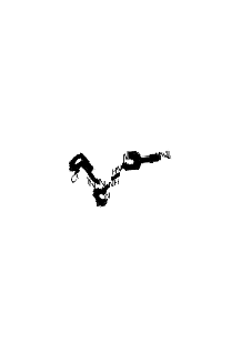 N#Cc1ccc(NCCNc2nc(-c3ccccc3Cl)nc3cccnc23)nc1